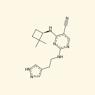 CC1(C)CC[C@H]1Nc1nc(NCCc2cn[nH]c2)ncc1C#N